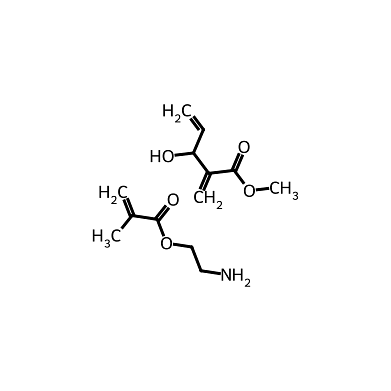 C=C(C)C(=O)OCCN.C=CC(O)C(=C)C(=O)OC